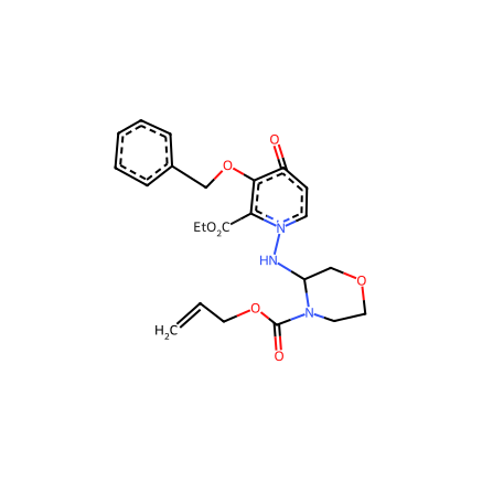 C=CCOC(=O)N1CCOCC1Nn1ccc(=O)c(OCc2ccccc2)c1C(=O)OCC